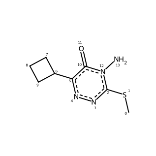 CSc1nnc(C2CCC2)c(=O)n1N